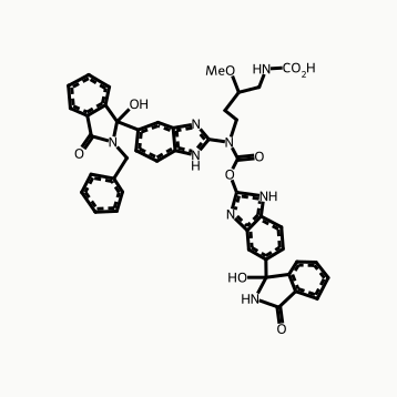 COC(CCN(C(=O)Oc1nc2cc(C3(O)NC(=O)c4ccccc43)ccc2[nH]1)c1nc2cc(C3(O)c4ccccc4C(=O)N3Cc3ccccc3)ccc2[nH]1)CNC(=O)O